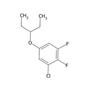 CCC(CC)Oc1cc(F)c(F)c(Cl)c1